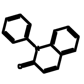 O=c1ccc2ccccc2n1-c1ccccc1